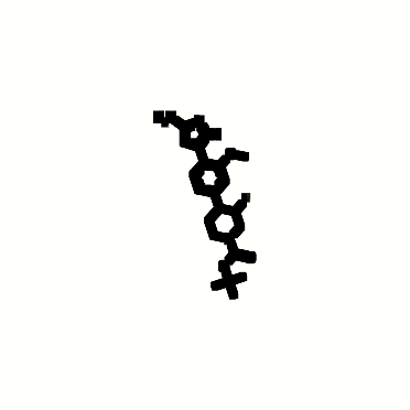 COc1cc(C2CCN(C(=O)OC(C)(C)C)CC2F)ccc1-c1cc(N)n[nH]1